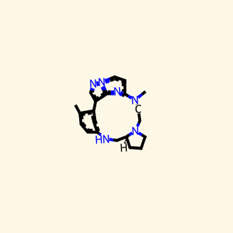 Cc1ccc2cc1-c1cnn3ccc(nc13)N(C)CCN1CCC[C@H]1CN2